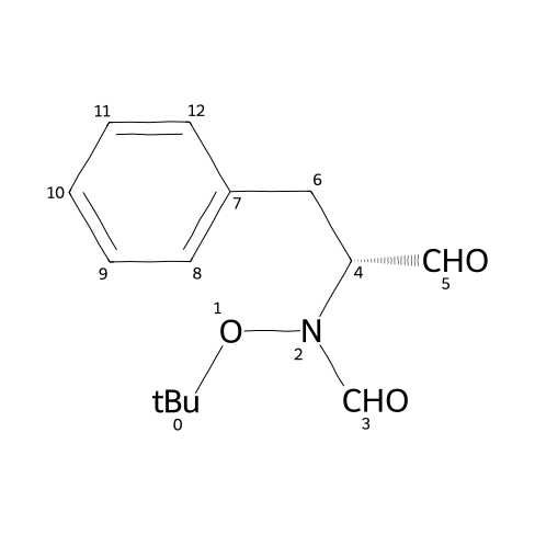 CC(C)(C)ON(C=O)[C@@H](C=O)Cc1ccccc1